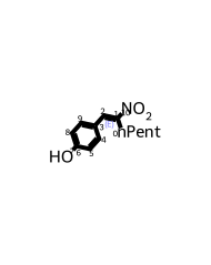 CCCCC/C(=C\c1ccc(O)cc1)[N+](=O)[O-]